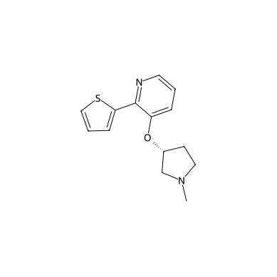 CN1CC[C@@H](Oc2cccnc2-c2cccs2)C1